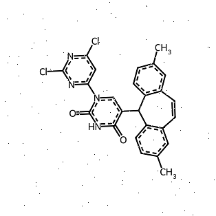 Cc1ccc2c(c1)C=Cc1cc(C)ccc1C2c1cn(-c2cc(Cl)nc(Cl)n2)c(=O)[nH]c1=O